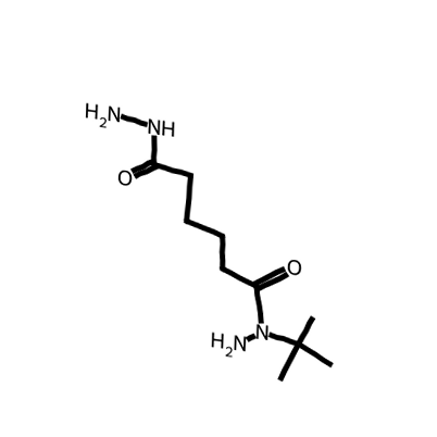 CC(C)(C)N(N)C(=O)CCCCC(=O)NN